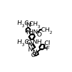 C=CC(=O)Nc1cc(Nc2cc(N3OCCC3c3ccc(Cl)c(F)c3)ncn2)c(OC)cc1N1CCC(N(C)C)C1